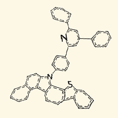 c1ccc(-c2cc(-c3ccccc3)nc(-c3ccc(-n4c5ccc6ccccc6c5c5ccc6c7ccccc7sc6c54)cc3)c2)cc1